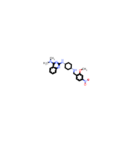 COc1cc([N+](=O)[O-])ccc1CN[C@H]1CC[C@@H](Nc2nc(N(C)C)c3ccccc3n2)CC1